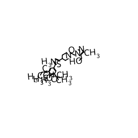 CCC(C)(C)c1cc(-c2ncc(C3CCN(C(=O)Cn4cnc(C)c4CO)CC3)s2)cc(C(C)(C)C)c1OC